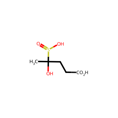 CC(O)(CCC(=O)O)S(=O)O